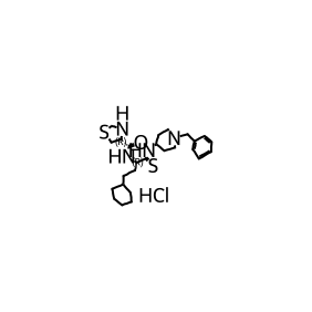 Cl.O=C(N[C@H](CCC1CCCCC1)C(=S)NC1CCN(Cc2ccccc2)CC1)[C@@H]1CSCN1